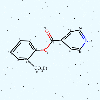 CCOC(=O)c1ccccc1OC(=O)c1ccncc1